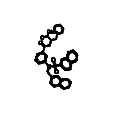 COC(=O)C(CC(=O)c1cccc(N(Cc2ccc3ccccc3c2)S(=O)(=O)c2ccc3ccccc3c2)c1)Cc1ccccc1